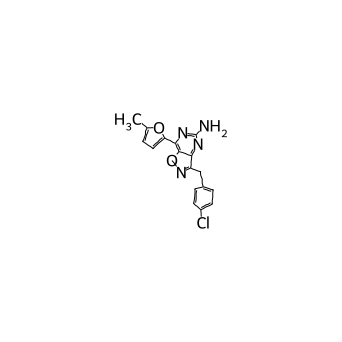 Cc1ccc(-c2nc(N)nc3c(Cc4ccc(Cl)cc4)noc23)o1